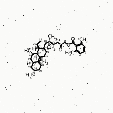 Cc1cccc(C)c1C(=O)OCC(=O)CC[C@@H](C)[C@H]1CC[C@H]2[C@@H]3[C@H](O)C[C@@H]4C[C@H](N)CC[C@]4(C)[C@H]3CC[C@]12C